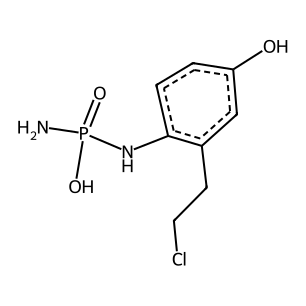 NP(=O)(O)Nc1ccc(O)cc1CCCl